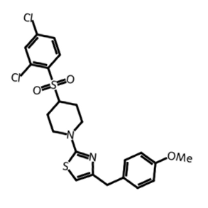 COc1ccc(Cc2csc(N3CCC(S(=O)(=O)c4ccc(Cl)cc4Cl)CC3)n2)cc1